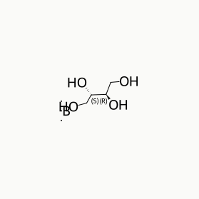 OC[C@@H](O)[C@@H](O)CO.[B]